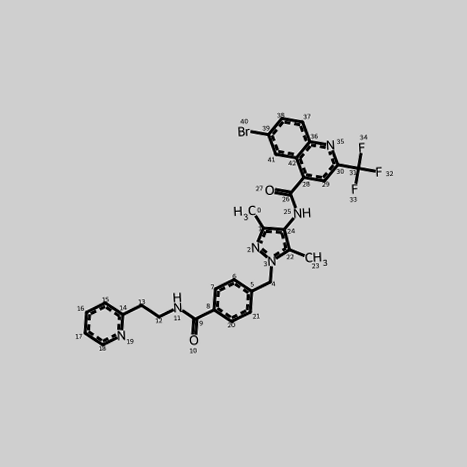 Cc1nn(Cc2ccc(C(=O)NCCc3ccccn3)cc2)c(C)c1NC(=O)c1cc(C(F)(F)F)nc2ccc(Br)cc12